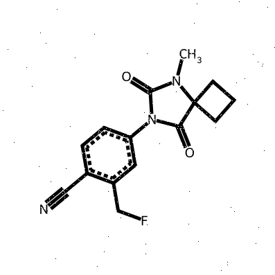 CN1C(=O)N(c2ccc(C#N)c(CF)c2)C(=O)C12CCC2